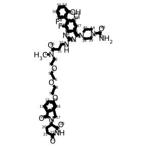 CN(CCOCCOCCOc1ccc2c(c1)CN(C1CCC(=O)NC1=O)C2=O)C(=O)CCNc1nc(N2CCN(C(N)=O)CC2)c2cc(Cl)c(-c3c(O)cccc3F)c(F)c2n1